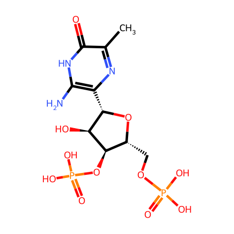 Cc1nc([C@@H]2O[C@H](COP(=O)(O)O)[C@@H](OP(=O)(O)O)[C@H]2O)c(N)[nH]c1=O